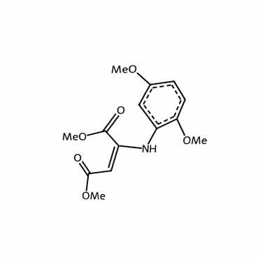 COC(=O)/C=C(/Nc1cc(OC)ccc1OC)C(=O)OC